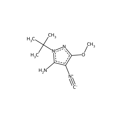 [C-]#[N+]c1c(OC)nn(C(C)(C)C)c1N